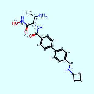 C[C@@H](N)[C@H](NC(=O)c1ccc(-c2ccc(CNC3CCC3)cc2)cc1)C(=O)NO